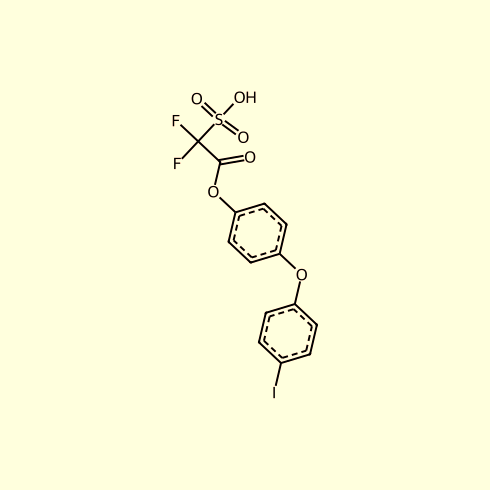 O=C(Oc1ccc(Oc2ccc(I)cc2)cc1)C(F)(F)S(=O)(=O)O